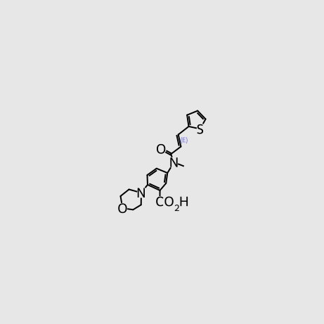 CN(C(=O)/C=C/c1cccs1)c1ccc(N2CCOCC2)c(C(=O)O)c1